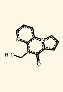 CCn1c(=O)c2cccn2c2cccnc21